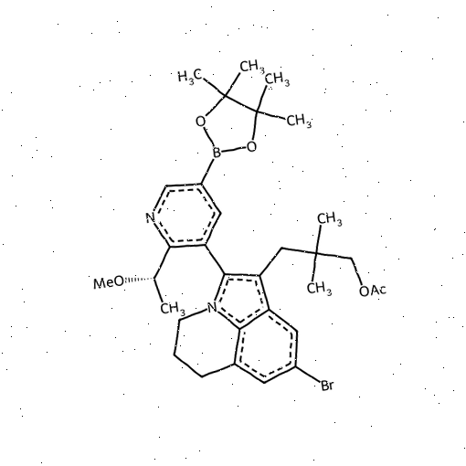 CO[C@@H](C)c1ncc(B2OC(C)(C)C(C)(C)O2)cc1-c1c(CC(C)(C)COC(C)=O)c2cc(Br)cc3c2n1CCC3